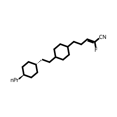 CCC[C@H]1CC[C@H](CCC2CCC(CCC=C(F)C#N)CC2)CC1